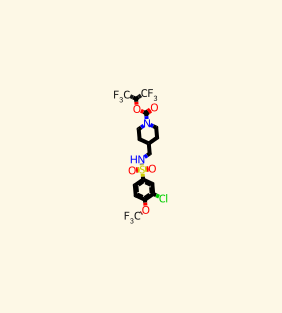 O=C(OC(C(F)(F)F)C(F)(F)F)N1CCC(CNS(=O)(=O)c2ccc(OC(F)(F)F)c(Cl)c2)CC1